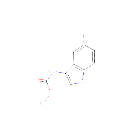 CC(C)(C)OC(=O)Nc1c[nH]c2ccc(I)cc12